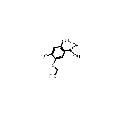 Cc1cc(C)c(B(O)O)cc1SCC(F)(F)F